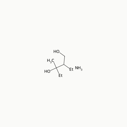 CCC(CO)C(C)(O)CC.N